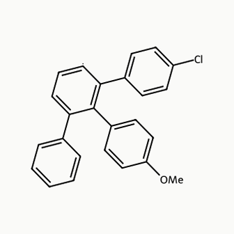 COc1ccc(-c2c(-c3ccc(Cl)cc3)[c]ccc2-c2ccccc2)cc1